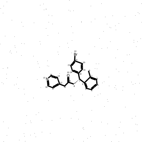 Cc1ccccc1[C@H](CC(=O)Cc1ccncc1)c1ccc(Br)cc1